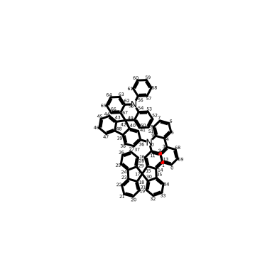 c1ccc(-c2ccccc2N(c2ccc3c(c2)C2(c4ccccc4-c4ccccc42)c2ccccc2-3)c2ccc3c(c2)C2(c4ccccc4-3)c3ccccc3N(c3ccccc3)c3ccccc32)cc1